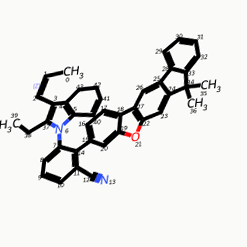 C/C=C\c1c2c(n(-c3cccc(C#N)c3-c3ccc4c(c3)oc3cc5c(cc34)-c3ccccc3C5(C)C)c1CC)C=CCC2